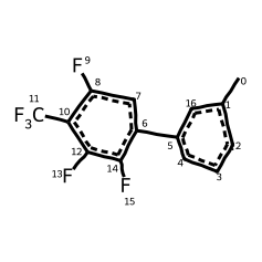 Cc1[c]ccc(-c2cc(F)c(C(F)(F)F)c(F)c2F)c1